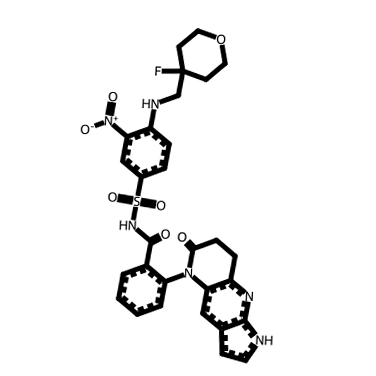 O=C(NS(=O)(=O)c1ccc(NCC2(F)CCOCC2)c([N+](=O)[O-])c1)c1ccccc1N1C(=O)CCc2nc3[nH]ccc3cc21